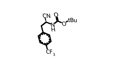 CC(C)(C)OC(=O)N[C@H](C#N)Cc1ccc(C(F)(F)F)cc1